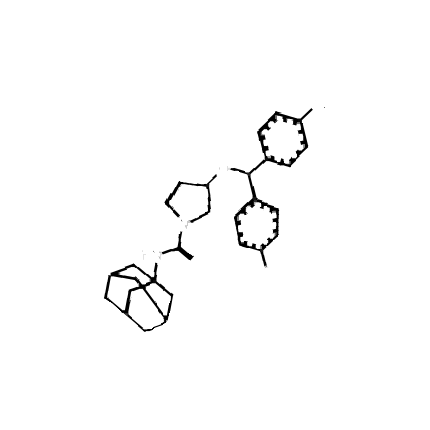 O=C(NC12CC3CC(CC(C3)C1)C2)N1CCC(OC(c2ccc(Cl)cc2)c2ccc(Cl)cc2)C1